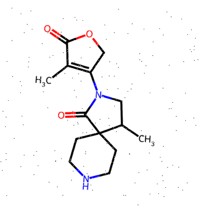 CC1=C(N2CC(C)C3(CCNCC3)C2=O)COC1=O